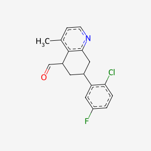 Cc1ccnc2c1C(C=O)CC(c1cc(F)ccc1Cl)C2